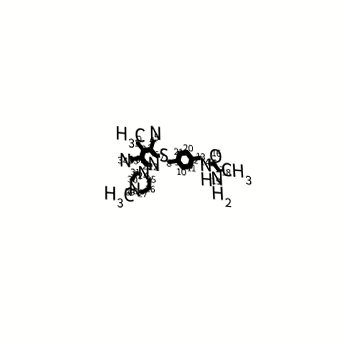 CCc1c(C#N)c(SCc2ccc(CNC(=O)[C@@H](C)N)cc2)nc(N2CCCN(C)CC2)c1C#N